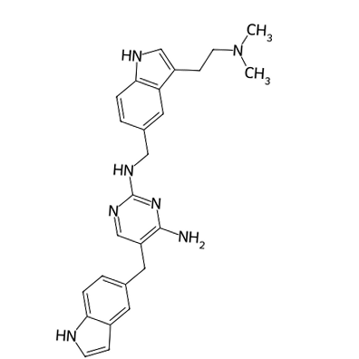 CN(C)CCc1c[nH]c2ccc(CNc3ncc(Cc4ccc5[nH]ccc5c4)c(N)n3)cc12